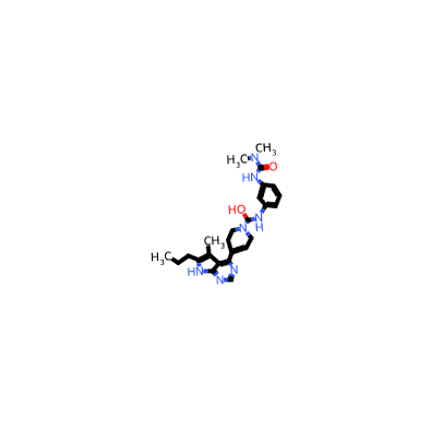 CCCc1[nH]c2ncnc(C3=CCN(C(O)Nc4cccc(NC(=O)N(C)C)c4)CC3)c2c1C